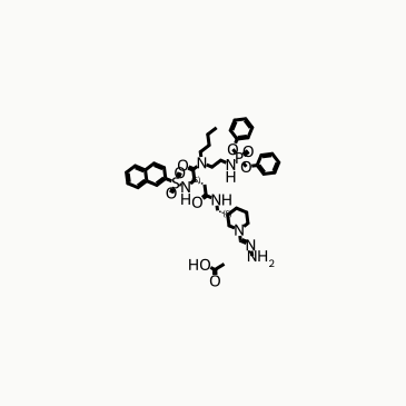 CC(=O)O.CCCCN(CCNP(=O)(Oc1ccccc1)Oc1ccccc1)C(=O)[C@H](CC(=O)NC[C@@H]1CCCN(C=NN)C1)NS(=O)(=O)c1ccc2ccccc2c1